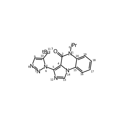 CC(C)n1c(=O)c2c(-n3nncc3C(C)(C)C)ncn2c2ccccc21